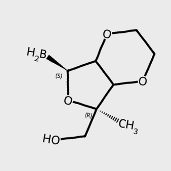 B[C@@H]1O[C@](C)(CO)C2OCCOC21